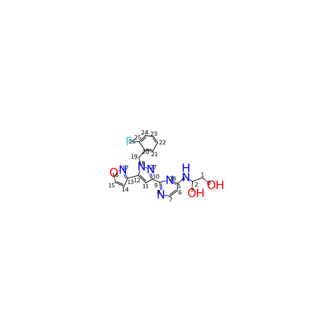 OCC(O)Nc1ccnc(-c2cc(-c3ccon3)n(Cc3ccccc3F)n2)n1